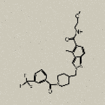 COCCNC(=O)c1ccc2nn(CC3CCN(C(=O)c4cccc(C(F)(F)F)c4)CC3)cc2c1C